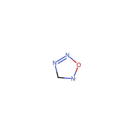 C1[N]ON=N1